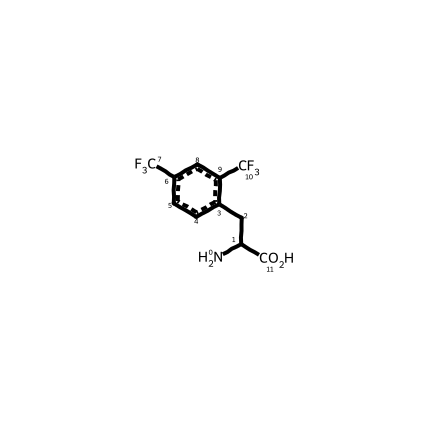 NC(Cc1ccc(C(F)(F)F)cc1C(F)(F)F)C(=O)O